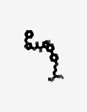 CN(C)CCCOc1ccc(-c2cnc3[nH]cc(NC(=O)Oc4cnn(Cc5ccccc5)c4)c3c2)cc1